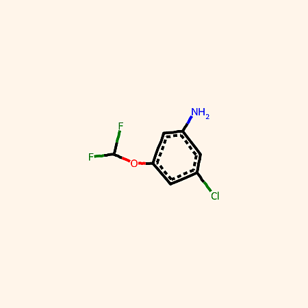 Nc1cc(Cl)cc(OC(F)F)c1